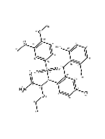 CCOC(C(N)=O)N(c1ccc(Cl)cc1Cc1c(F)cccc1F)S(=O)(=O)c1ccc(OC)c(OC)c1